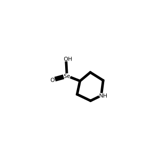 O=[Se](O)C1CCNCC1